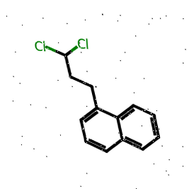 ClC(Cl)C[CH]c1cccc2ccccc12